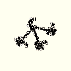 CC(=O)N[C@H]1[C@H](OCCOCCOCCOc2cc(C(=O)N3CCC(O)CC3)cc(OCCOCCOCCO[C@@H]3O[C@H](COC(C)=O)[C@H](OC(C)=O)[C@H](OC(C)=O)[C@H]3NC(C)=O)c2OCCOCCOCCO[C@@H]2O[C@H](COC(C)=O)[C@H](OC(C)=O)[C@H](OC(C)=O)[C@H]2NC(C)=O)O[C@H](COC(C)=O)[C@H](OC(C)=O)[C@@H]1OC(C)=O